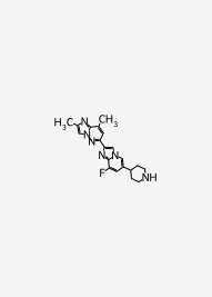 Cc1cn2nc(-c3cn4cc(C5CCNCC5)cc(F)c4n3)cc(C)c2n1